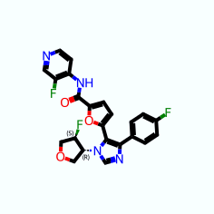 O=C(Nc1ccncc1F)c1ccc(-c2c(-c3ccc(F)cc3)ncn2[C@@H]2COC[C@H]2F)o1